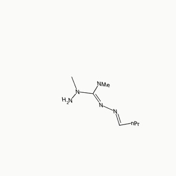 CCC/C=N/N=C(\NC)N(C)N